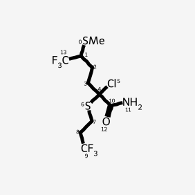 CSC(CCC(Cl)(SCCC(F)(F)F)C(N)=O)C(F)(F)F